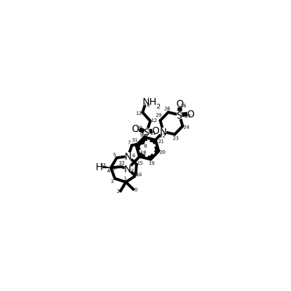 CC1(C)C[C@@H]2CN(CCS(=O)(=O)CCN)CC1N(c1ccc(N3CCS(=O)(=O)CC3)cc1)C2